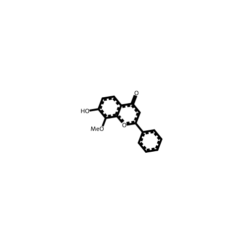 COc1c(O)ccc2c(=O)cc(-c3ccccc3)oc12